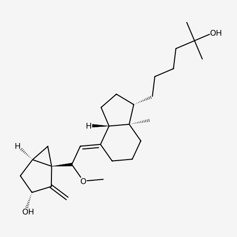 C=C1[C@H](O)C[C@H]2C[C@]12C(/C=C1\CCC[C@]2(C)[C@@H](CCCCC(C)(C)O)CC[C@@H]12)OC